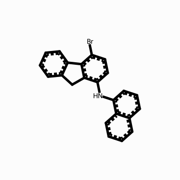 Brc1ccc(Nc2cccc3ccccc23)c2c1-c1ccccc1C2